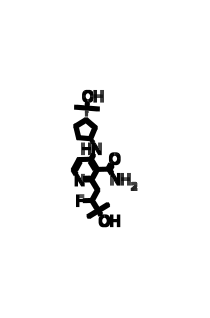 CC(C)(O)C(F)Cc1nccc(N[C@H]2CC[C@H](C(C)(C)O)C2)c1C(N)=O